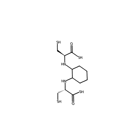 O=C(S)[C@H](CS)NC1CCCCC1N[C@@H](CS)C(=O)S